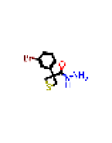 NNC(=O)C1(c2cccc(Br)c2)CSC1